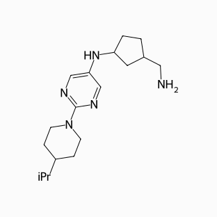 CC(C)C1CCN(c2ncc(NC3CCC(CN)C3)cn2)CC1